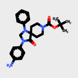 CC(C)(C)OC(=O)N1CCC2(CC1)C(=O)N(c1ccc(N)cc1)CN2c1ccccc1